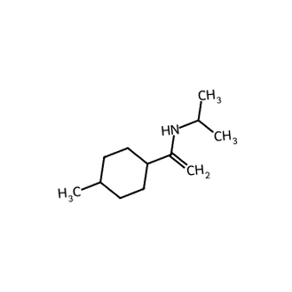 C=C(NC(C)C)C1CCC(C)CC1